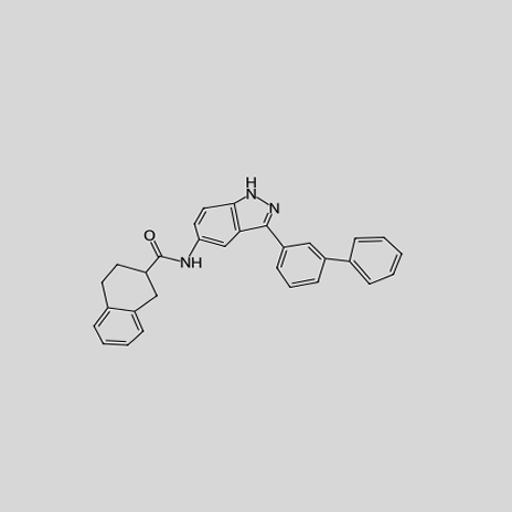 O=C(Nc1ccc2[nH]nc(-c3cccc(-c4ccccc4)c3)c2c1)C1CCc2ccccc2C1